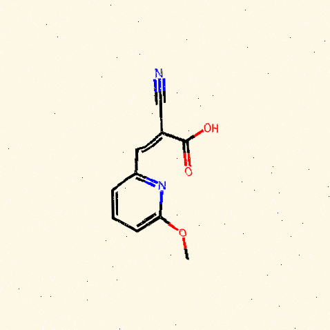 COc1cccc(C=C(C#N)C(=O)O)n1